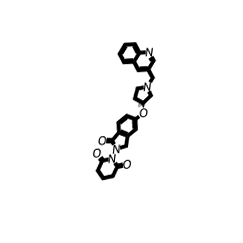 O=C1c2ccc(O[C@@H]3CCN(Cc4cnc5ccccc5c4)C3)cc2CN1N1C(=O)CCCC1=O